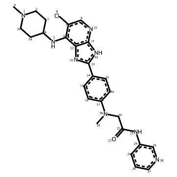 CN1CCC(Nc2c(Cl)cnc3[nH]c(-c4ccc(N(C)CC(=O)Nc5cccnc5)cc4)nc23)CC1